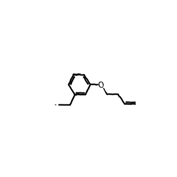 [CH2]Cc1cccc(OCCC=C)c1